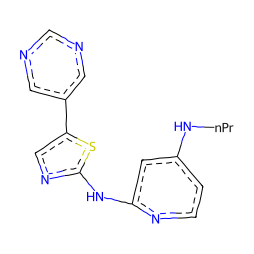 CCCNc1ccnc(Nc2ncc(-c3cncnc3)s2)c1